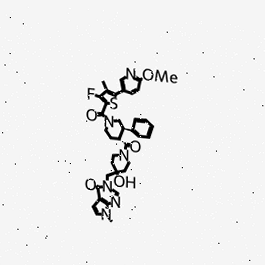 COc1ccc(-c2sc(C(=O)N3CC[C@@H](C(=O)N4CCC(O)(Cn5cnc6c(ccn6C)c5=O)CC4)[C@H](c4ccccc4)C3)c(F)c2C)cn1